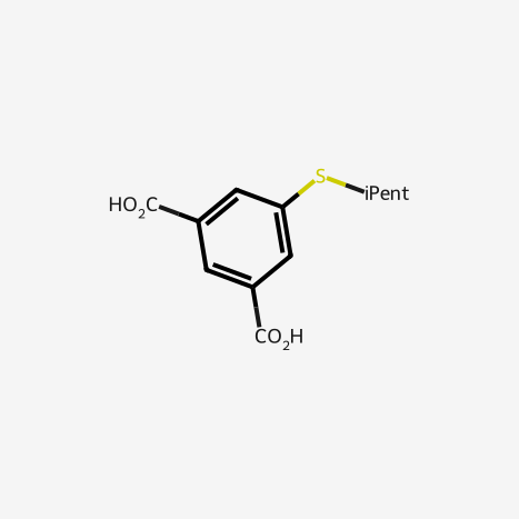 CCCC(C)Sc1cc(C(=O)O)cc(C(=O)O)c1